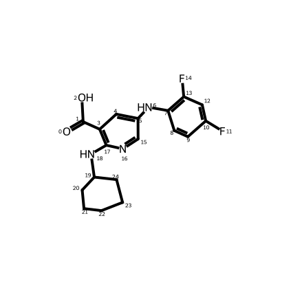 O=C(O)c1cc(Nc2ccc(F)cc2F)cnc1NC1CCCCC1